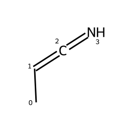 CC=C=N